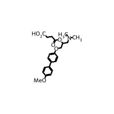 COc1ccc(-c2ccc(OCC(CN(C)C)OC(=O)CCC(=O)O)cc2)cc1